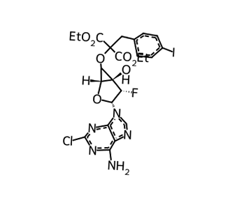 CCOC(=O)C(Cc1ccc(I)cc1)(OC1[C@H]2O[C@@H](n3cnc4c(N)nc(Cl)nc43)[C@@H](F)[C@@]12O)C(=O)OCC